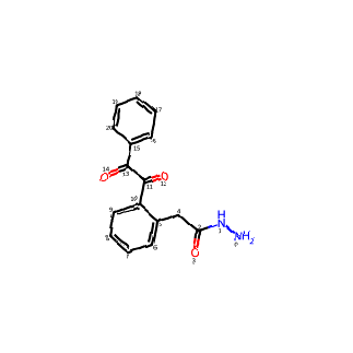 NNC(=O)Cc1ccccc1C(=O)C(=O)c1ccccc1